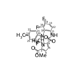 COC(=O)c1ccc(S(=O)(=O)Nc2ccc(F)c(F)c2Nc2ccc(C)cc2F)n1C